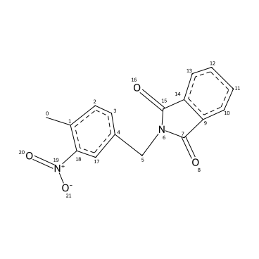 Cc1ccc(CN2C(=O)c3ccccc3C2=O)cc1[N+](=O)[O-]